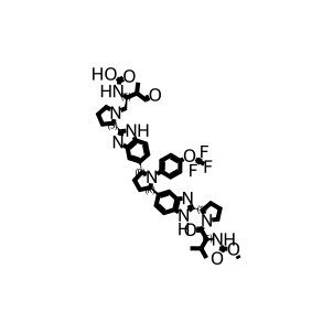 COC(=O)N[C@H](C(=O)N1CCC[C@H]1c1nc2cc([C@H]3CC[C@H](c4ccc5[nH]c([C@@H]6CCCN6C[C@@H](NC(=O)O)C(C)C=O)nc5c4)N3c3ccc(OC(F)(F)F)cc3)ccc2[nH]1)C(C)C